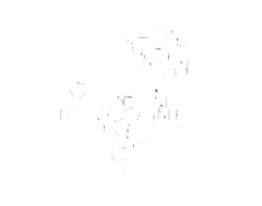 COc1ccc2c(c1)[nH]c1c3cc(CC(N)=O)c4ccn(C)c4c3c3c(c21)C(=O)N(CCC(O)c1ccccc1)C3=O.COc1ccc2c(c1)[nH]c1c3cc(CC(N)=O)c4ccn(C)c4c3c3c(c21)C(=O)NC3=O